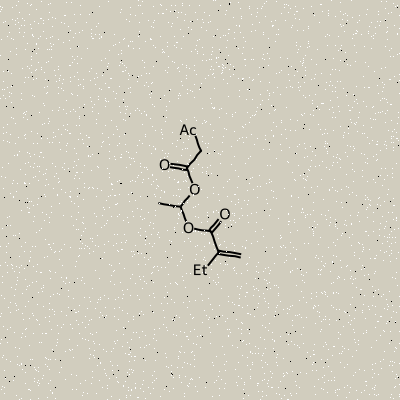 C=C(CC)C(=O)OC(C)OC(=O)CC(C)=O